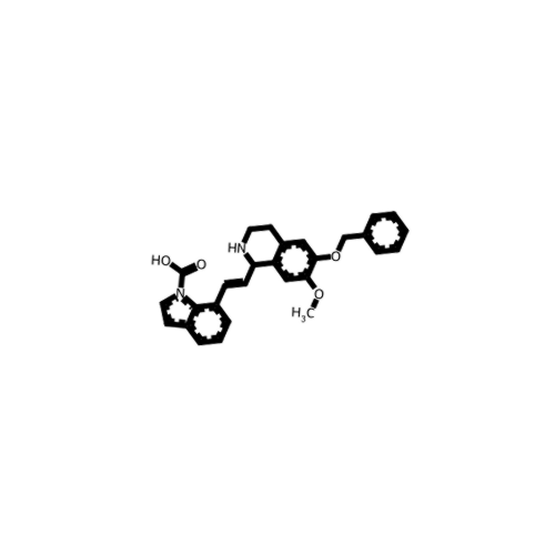 COc1cc2c(cc1OCc1ccccc1)CCNC2C=Cc1cccc2ccn(C(=O)O)c12